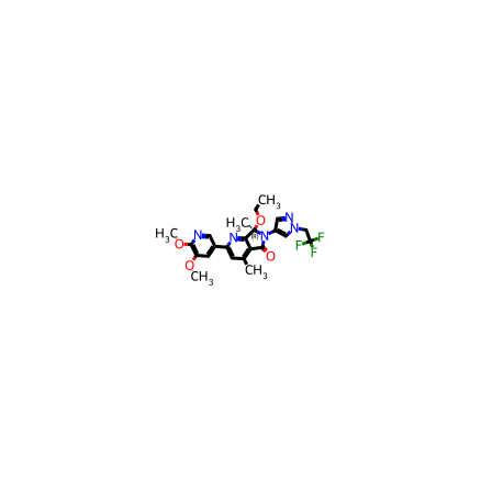 CCO[C@]1(C)c2nc(-c3cnc(OC)c(OC)c3)cc(C)c2C(=O)N1c1cnn(CC(F)(F)F)c1